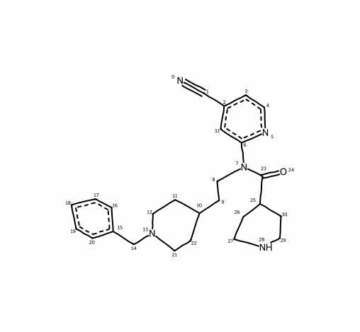 N#Cc1ccnc(N(CCC2CCN(Cc3ccccc3)CC2)C(=O)C2CCNCC2)c1